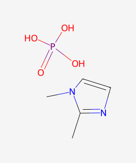 Cc1nccn1C.O=P(O)(O)O